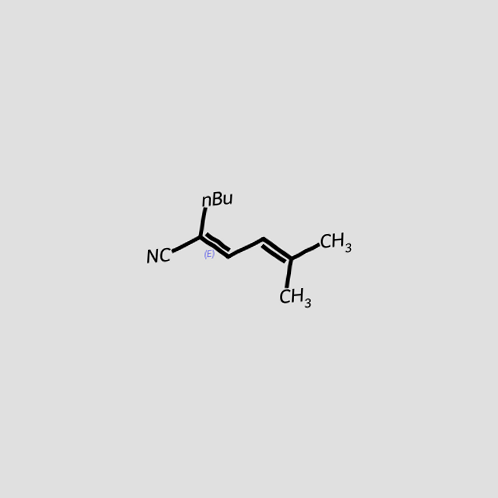 CCCC/C(C#N)=C\C=C(C)C